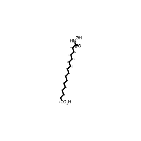 O=C(O)CCCCCCCCCCCCCCCC(=O)NO